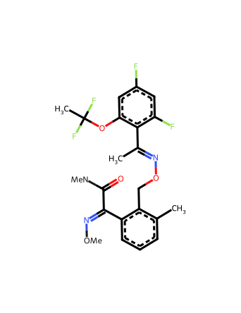 CNC(=O)/C(=N/OC)c1cccc(C)c1CO/N=C(\C)c1c(F)cc(F)cc1OC(C)(F)F